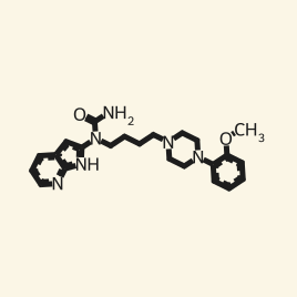 COc1ccccc1N1CCN(CCCCN(C(N)=O)c2cc3cccnc3[nH]2)CC1